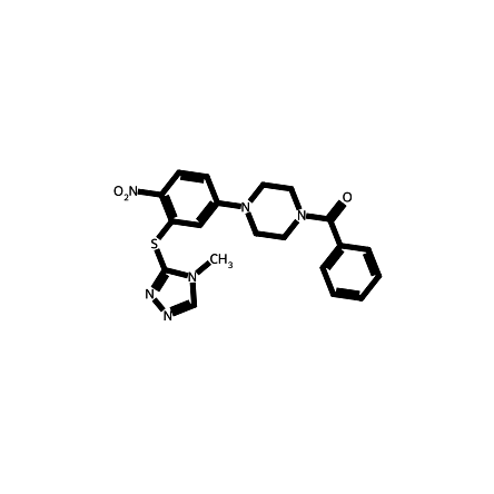 Cn1cnnc1Sc1cc(N2CCN(C(=O)c3ccccc3)CC2)ccc1[N+](=O)[O-]